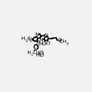 COCCC#Cc1ccc(Nc2c(C#N)cnc3cc(OC)cc(OC4CCN(C)CC4)c23)c2c1OCO2.Cl.Cl